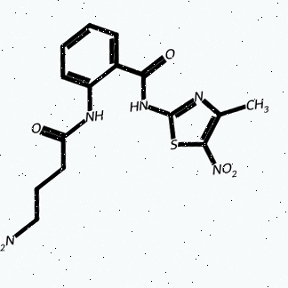 Cc1nc(NC(=O)c2ccccc2NC(=O)CCCN)sc1[N+](=O)[O-]